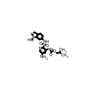 CC(C)COC(=O)Nc1cc(N)cnc1S(=O)(=O)Nc1ccc2c(c1)B(O)OC2